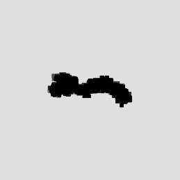 CCc1ccccc1-n1c(C)cs/c1=N\C(=O)NCCC(C)Cc1ccc(-c2ncn(-c3ccc(OC(F)(F)F)cc3)n2)cc1